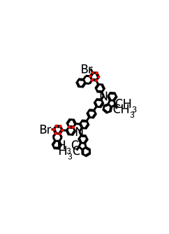 CC1(C)c2ccccc2-c2ccc(N(c3ccc(-c4ccc(Br)c5c4C4c6ccccc6C5c5ccccc54)cc3)c3ccc(-c4ccc(-c5ccc(N(c6ccc(-c7ccc(Br)c8c7C7c9ccccc9C8c8ccccc87)cc6)c6cccc7c6-c6ccccc6C7(C)C)cc5)cc4)cc3-c3ccccc3)cc21